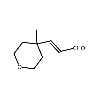 CC1(C=CC=O)CCOCC1